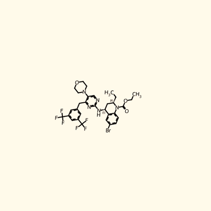 CCOC(=O)N1c2ccc(Br)cc2[C@@H](Nc2ncc(N3CCOCC3)c(Cc3cc(C(F)(F)F)cc(C(F)(F)F)c3)n2)C[C@H]1CC